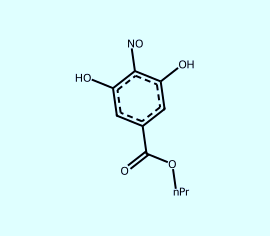 CCCOC(=O)c1cc(O)c(N=O)c(O)c1